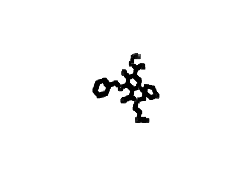 CCCCOC(=O)c1cn2c(c(OCc3ccccc3)c1=O)C(=O)N(CCOC)CC21CCOC1